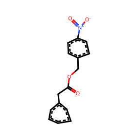 O=C([CH]c1ccccc1)OCc1ccc([N+](=O)[O-])cc1